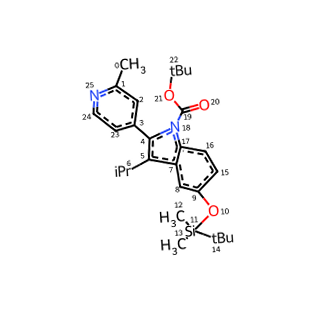 Cc1cc(-c2c(C(C)C)c3cc(O[Si](C)(C)C(C)(C)C)ccc3n2C(=O)OC(C)(C)C)ccn1